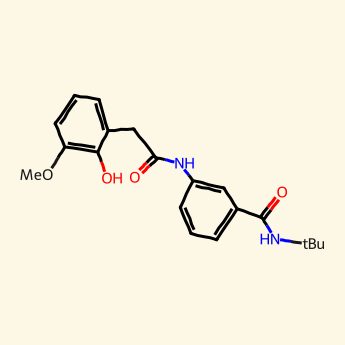 COc1cccc(CC(=O)Nc2cccc(C(=O)NC(C)(C)C)c2)c1O